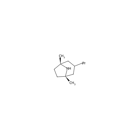 CC(C)C1C[C@]2(C)CC[C@](C)(C1)N2